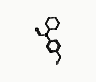 O=[C]N(c1ccc(CF)cc1)C1CCCCC1